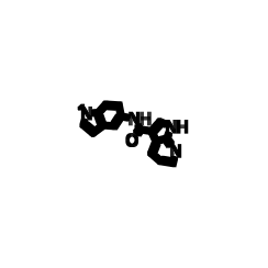 Cn1ccc2cc(NC(=O)c3c[nH]c4ncccc34)ccc21